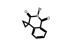 O=C1c2ccccc2C2(CC2)C(=O)N1Br